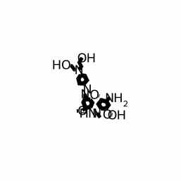 COc1cc(NN(C)c2ccc(N)cc2OO)c(OC)cc1/N=N/c1ccc(N(CCO)CCO)cc1